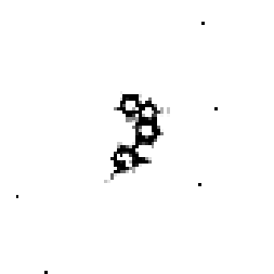 Cc1nc(F)ccc1-c1ccc2c(n1)C1(CCCC1)CN2